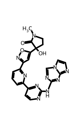 CN1CCC(O)(c2cc(-c3cccc(-c4ccnc(Nc5ncn6ccnc6n5)n4)n3)no2)C1=O